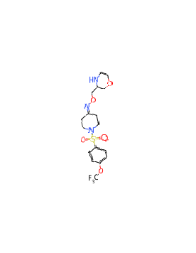 O=S(=O)(c1ccc(OC(F)(F)F)cc1)N1CCC(=NOC[C@@H]2COCCN2)CC1